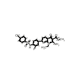 CCn1c(N)c(C(=O)NC)c(=O)c2ccc(-c3ccc(NS(=O)(=O)c4ccc(Cl)cc4)c(F)c3)nc21